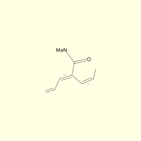 C=C/C=C(\C=C/C)C(=O)NC